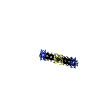 c1cnc2cc3cc4c(cc3cc2n1)SC(=C1Sc2cc3cc5nccnc5cc3cc2S1)S4